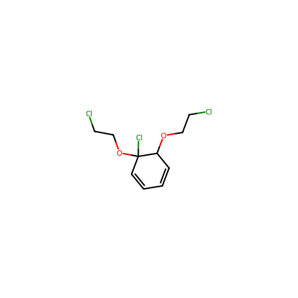 ClCCOC1C=CC=CC1(Cl)OCCCl